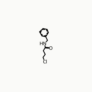 O=C(CCCCl)NCc1ccccc1